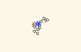 c1ccc(-c2nc(-c3ccc(-c4cccc5c4sc4ccccc45)cc3)nc(-c3cccc4sc5ccc(-c6ccccc6-c6ccccc6-c6ccccc6)cc5c34)n2)cc1